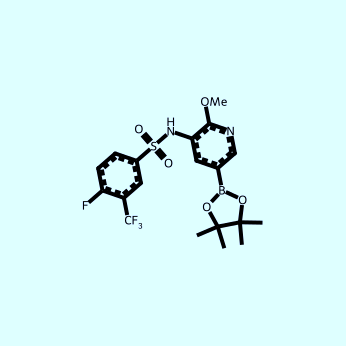 COc1ncc(B2OC(C)(C)C(C)(C)O2)cc1NS(=O)(=O)c1ccc(F)c(C(F)(F)F)c1